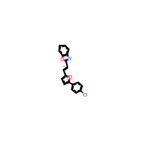 Clc1ccc(-c2ccc(/C=C/c3nc4ccccc4o3)o2)cc1